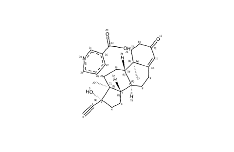 C#C[C@]1(O)CC[C@H]2[C@@H]3CCC4=CC(=O)CC[C@]4(C)[C@H]3CC[C@@]21C.O=C(O)c1cccnc1